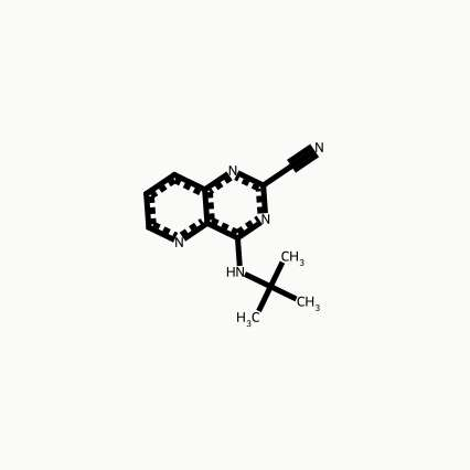 CC(C)(C)Nc1nc(C#N)nc2cccnc12